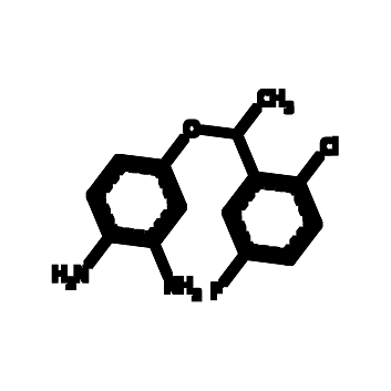 CC(Oc1ccc(N)c(N)c1)c1cc(F)ccc1Cl